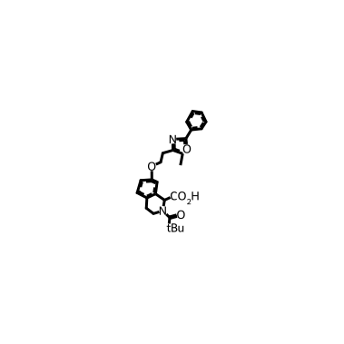 Cc1oc(-c2ccccc2)nc1CCOc1ccc2c(c1)C(C(=O)O)N(C(=O)C(C)(C)C)CC2